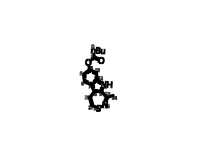 CCCCC(=O)Oc1ccc2c3c([nH]c2c1)C(C)=NSC=C3